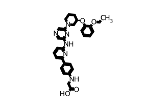 CCOc1ccccc1O[C@@H]1CCCN(c2cncc(Nc3cccc(-c4ccc(NCC(=O)O)cc4)n3)n2)C1